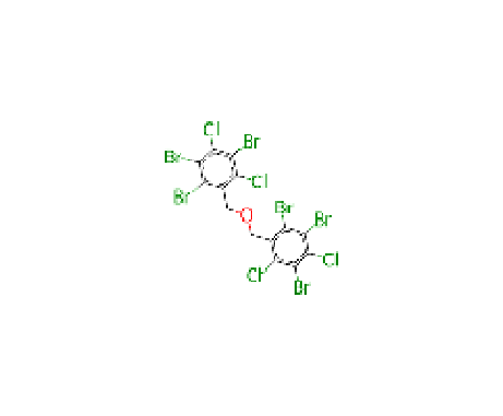 Clc1c(Br)c(Cl)c(COCc2c(Cl)c(Br)c(Cl)c(Br)c2Br)c(Br)c1Br